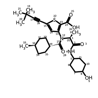 C[C@@H](C(=O)NC1CCC(O)CC1)N(c1cc(C#CC(C)(C)C)sc1C(=O)O)C(=O)[C@H]1CC[C@H](C)CC1